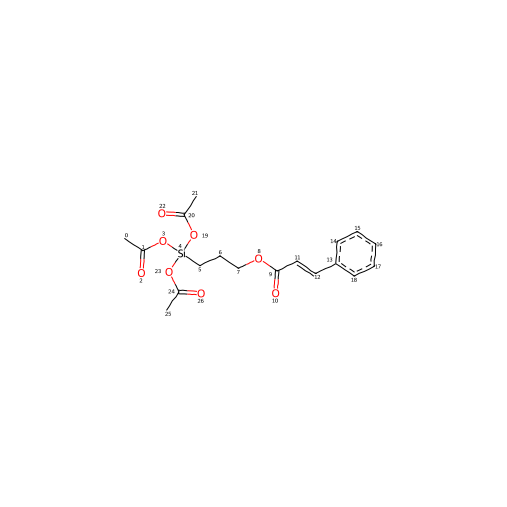 CC(=O)O[Si](CCCOC(=O)C=Cc1ccccc1)(OC(C)=O)OC(C)=O